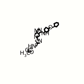 CS(=O)(=O)CCNCc1cnc(-c2cc3c(Nc4ccc(OCc5ccccc5)cc4)ncnc3cn2)s1